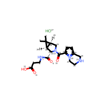 CC1(C)[C@@H]2[C@@H](C(=O)NCCC(=O)O)N(C(=O)c3ccc4n3CCNC4)C[C@@H]21.Cl